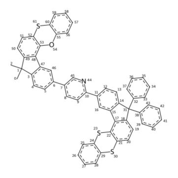 CC1(C)c2ccc(-c3ccc(-c4ccc5c(c4)-c4c(ccc6c4Sc4ccccc4S6)C5(c4ccccc4)c4ccccc4)nc3)cc2-c2c1ccc1c2Oc2ccccc2S1